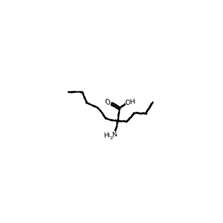 CCCCCC(N)(CCCC)C(=O)O